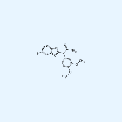 COc1ccc(C(C(N)=O)c2nc3ccc(I)cc3s2)cc1OC